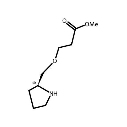 COC(=O)CCOC[C@@H]1CCCN1